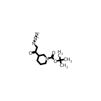 CC(C)(C)OC(=O)N1CCCC(C(=O)CN=[N+]=[N-])C1